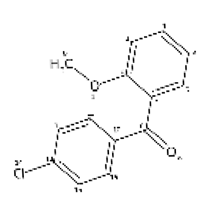 COc1ccccc1C(=O)c1ccc(Cl)cc1